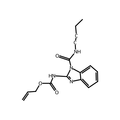 C=CCOC(=O)Nc1nc2ccccc2n1C(=O)NCCCC